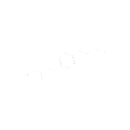 COCCc1ccc(OCC(O)CCl)cc1